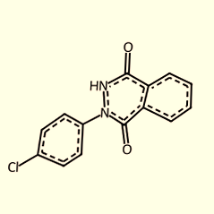 O=c1[nH]n(-c2ccc(Cl)cc2)c(=O)c2ccccc12